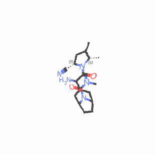 CC1C[C@@H](C#N)N(C(=O)C(N)C2CC3CCC(C2)N3C(=O)N(C)C)[C@H]1C